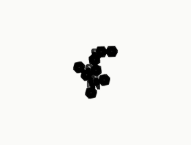 c1ccc(-c2ccc3sc4ccc(-c5cccc6c5oc5c(-c7ccccc7)ccc(-c7nc(-c8ccccc8)nc(-c8ccccc8)n7)c56)cc4c3c2)cc1